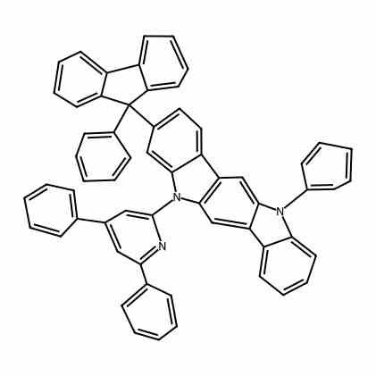 c1ccc(-c2cc(-c3ccccc3)nc(-n3c4cc(C5(c6ccccc6)c6ccccc6-c6ccccc65)ccc4c4cc5c(cc43)c3ccccc3n5-c3ccccc3)c2)cc1